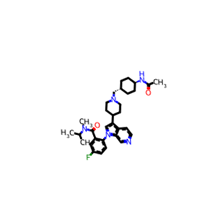 CC(=O)N[C@H]1CC[C@H](CN2CCC(c3cn(-c4ccc(F)cc4C(=O)N(C)C(C)C)c4cnccc34)CC2)CC1